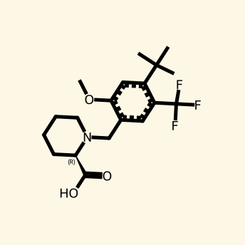 COc1cc(C(C)(C)C)c(C(F)(F)F)cc1CN1CCCC[C@@H]1C(=O)O